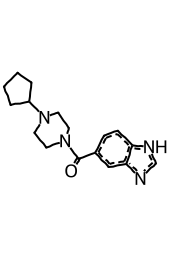 O=C(c1ccc2[nH]cnc2c1)N1CCN(C2CCCC2)CC1